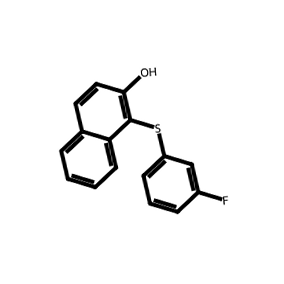 Oc1ccc2ccccc2c1Sc1cccc(F)c1